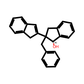 O[C@H]1c2ccccc2CC1(Cc1ccccc1)C1=Cc2ccccc2C1